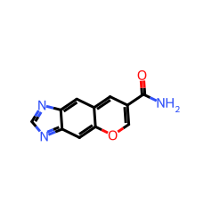 NC(=O)c1coc2cc3ncnc3cc2c1